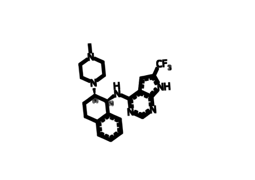 CN1CCN([C@H]2CCc3ccccc3[C@@H]2Nc2ncnc3[nH]c(C(F)(F)F)cc23)CC1